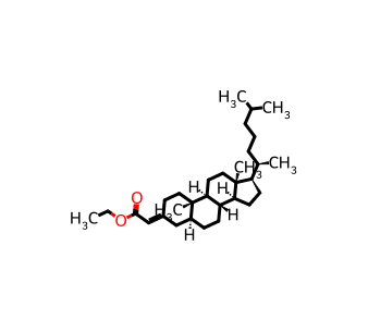 CCOC(=O)/C=C1\CC[C@@]2(C)[C@@H](CC[C@@H]3[C@@H]2CC[C@]2(C)[C@@H]([C@H](C)CCCC(C)C)CC[C@@H]32)C1